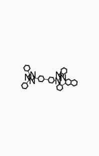 c1ccc(-c2nc(-c3ccccc3)nc(-c3ccc(-c4ccc(N5c6ccccc6-c6cc7ccccc7cc6-n6c5nc5ccccc56)cc4)cc3)n2)cc1